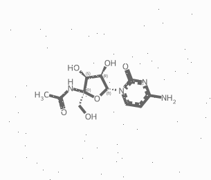 CC(=O)N[C@]1(CO)O[C@@H](n2ccc(N)nc2=O)[C@H](O)[C@@H]1O